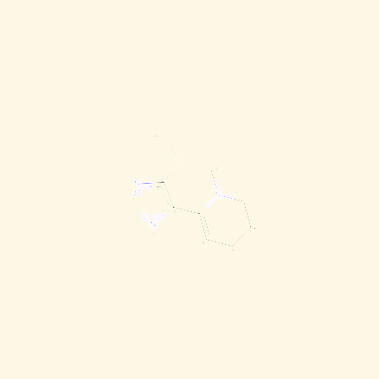 CCCCCOc1nsnc1C1=CCCCN1C